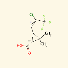 CC1(C)C(/C=C(/Cl)C(F)(F)F)[C@H]1C(=O)O